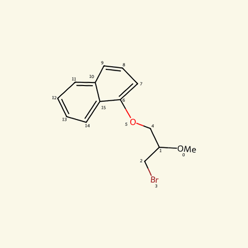 COC(CBr)COc1cccc2ccccc12